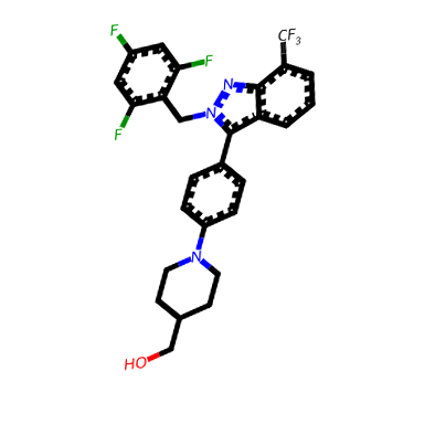 OCC1CCN(c2ccc(-c3c4cccc(C(F)(F)F)c4nn3Cc3c(F)cc(F)cc3F)cc2)CC1